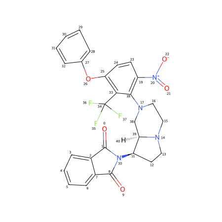 O=C1c2ccccc2C(=O)N1[C@@H]1CCN2CCN(c3c([N+](=O)[O-])ccc(Oc4ccccc4)c3C(F)(F)F)C[C@H]12